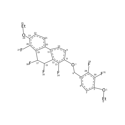 CCOc1ccc(COc2ccc3c(c2F)C(F)C(F)c2c-3ccc(OCC)c2F)c(F)c1F